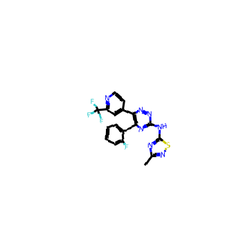 Cc1nsc(Nc2nnc(-c3ccnc(C(F)(F)F)c3)c(-c3ccccc3F)n2)n1